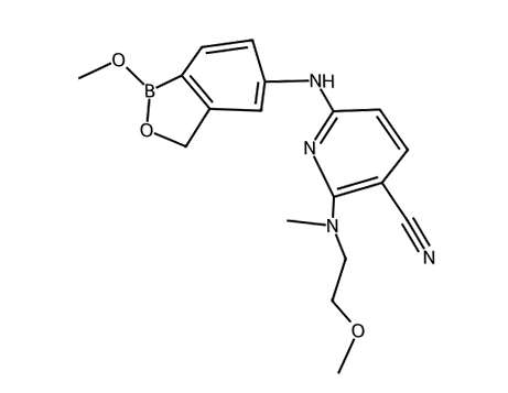 COCCN(C)c1nc(Nc2ccc3c(c2)COB3OC)ccc1C#N